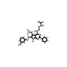 CC(=O)NCCNc1nc(-c2ccccc2)nc2[nH]c(COc3cccc(Cl)c3)c(CN(C)C)c12